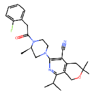 CC(C)c1nc(N2CCN(C(=O)Cc3ccccc3F)[C@H](C)C2)c(C#N)c2c1COC(C)(C)C2